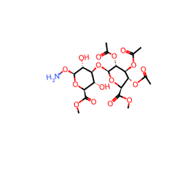 COC(=O)[C@H]1O[C@@H](ON)[C@H](O)[C@@H](O[C@@H]2O[C@H](C(=O)OC)[C@@H](OC(C)=O)[C@H](OC(C)=O)[C@H]2OC(C)=O)[C@@H]1O